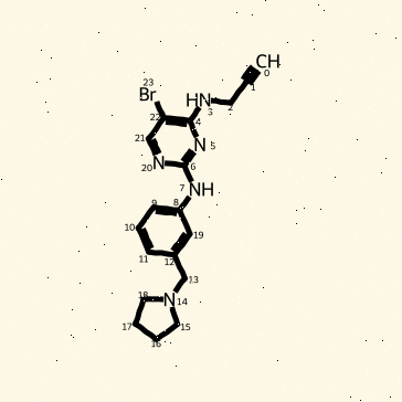 C#CCNc1nc(Nc2cccc(CN3CCCC3)c2)ncc1Br